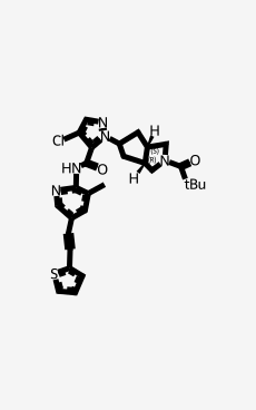 Cc1cc(C#Cc2cccs2)cnc1NC(=O)c1c(Cl)cnn1C1C[C@@H]2CN(C(=O)C(C)(C)C)C[C@@H]2C1